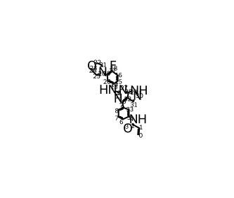 C=CC(=O)Nc1cccc(-c2nc(Nc3ccc(F)c(N4CCOCC4)c3)nc3[nH]ncc23)c1